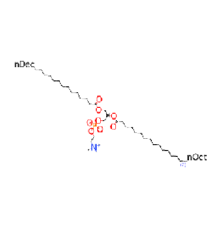 CCCCCCCC/C=C\CCCCCCCCCCCCCC(=O)O[C@H](COC(=O)CCCCCCCCCCCCCCCCCCCCCCC)COP(=O)([O-])OCC[N+](C)(C)C